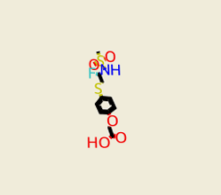 CS(=O)(=O)NC(F)CSc1ccc(OCC(=O)O)cc1